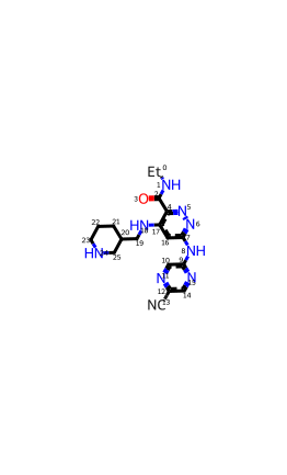 CCNC(=O)c1nnc(Nc2cnc(C#N)cn2)cc1NCC1CCCNC1